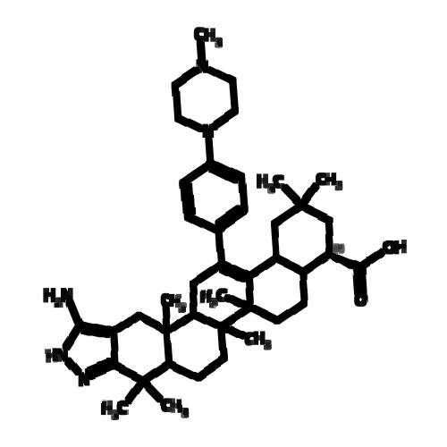 CN1CCN(c2ccc(C3=C4C5CC(C)(C)C[C@@H](C(=O)O)C5CCC4(C)C4(C)CCC5C(C)(C)c6n[nH]c(N)c6CC5(C)C4C3)cc2)CC1